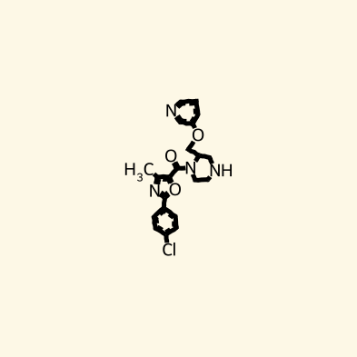 Cc1nc(-c2ccc(Cl)cc2)oc1C(=O)N1CCNCC1COc1cccnc1